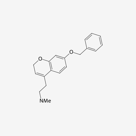 CNCCC1=CCOc2cc(OCc3ccccc3)ccc21